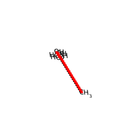 CCCCCCCCCCCCCCCCCCCCCCCCCCCCCCCCCCC(=O)[C@H](O)[C@@H](O)[C@H](O)[C@H](O)CO